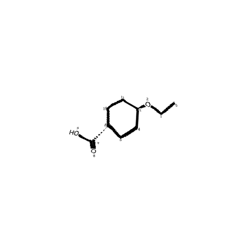 CCO[C@H]1CC[C@H](C(=O)O)CC1